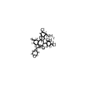 C[C@@H](c1ccc(Cl)cc1N)N1C(=O)c2cc(I)ccc2N(CCN2CCOCC2)C(=O)C1c1ccc(Cl)cc1